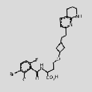 O=C(NC(CCOC1CC(CCc2ccc3c(n2)NCCC3)C1)C(=O)O)c1c(F)ccc(Br)c1Cl